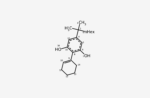 CCCCCCC(C)(C)c1cc(O)c(C2=CCCCC2)c(O)c1